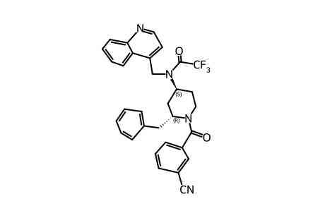 N#Cc1cccc(C(=O)N2CC[C@H](N(Cc3ccnc4ccccc34)C(=O)C(F)(F)F)C[C@H]2Cc2ccccc2)c1